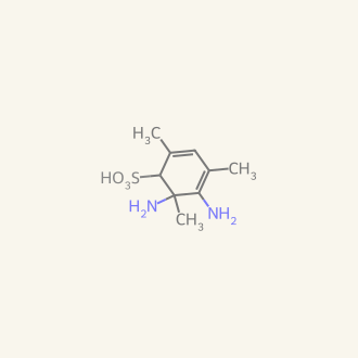 CC1=CC(C)=C(N)C(C)(N)C1S(=O)(=O)O